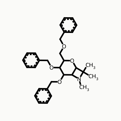 CN1C2C(OCc3ccccc3)C(OCc3ccccc3)C(COCc3ccccc3)OC2C1(C)C